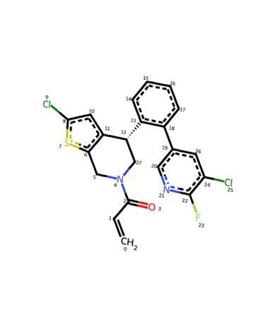 C=CC(=O)N1Cc2sc(Cl)cc2[C@H](c2ccccc2-c2cnc(F)c(Cl)c2)C1